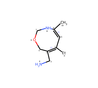 CCC1=C(\CN)COCN/C(C)=C\1